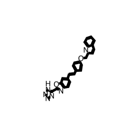 C(=Cc1ccc2nc(-c3nnn[nH]3)oc2c1)c1ccc(OCc2ccc3ccccc3n2)cc1